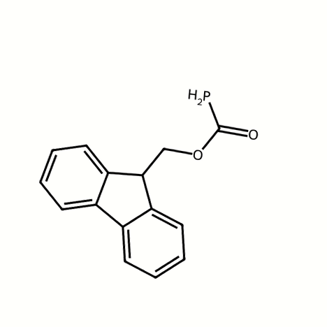 O=C(P)OCC1c2ccccc2-c2ccccc21